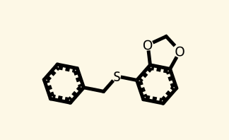 c1ccc(CSc2cccc3c2OCO3)cc1